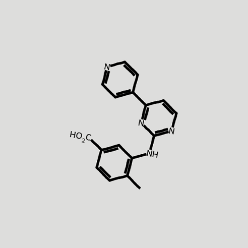 Cc1ccc(C(=O)O)cc1Nc1nccc(-c2ccncc2)n1